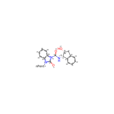 CCCCCn1c(=O)n(C(=O)N[C@H]2c3ccccc3C[C@H]2O)c2ccccc21